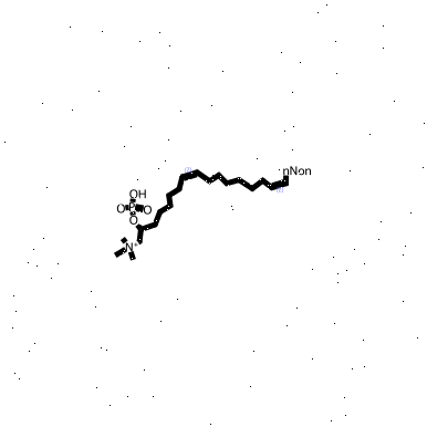 CCCCCCCCC/C=C\CCCCCC/C=C\CCCCCC(C[N+](C)(C)C)OP(=O)([O-])O